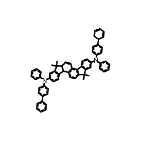 CC1(C)c2cc(N(c3ccccc3)c3ccc(C4C=CC=CC4)cc3)ccc2-c2c1ccc1c2C=CC2C1c1ccc(N(c3ccccc3)c3ccc(-c4ccccc4)cc3)cc1C2(C)C